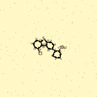 CC(C)(C)c1ccccc1-c1ccc2sc3cccc(Cl)c3c2c1